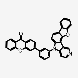 O=c1c2ccccc2oc2cc(-c3cccc(-n4c5ccncc5c5c6oc7ccccc7c6ccc54)c3)ccc12